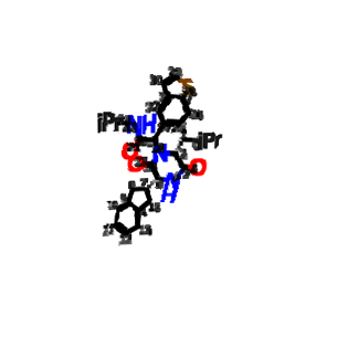 CC(C)C[C@@H]1C(=O)N[C@H](C2Cc3ccccc3C2)C(=O)N1[C@@H](C(=O)NC(C)C)c1ccc2sccc2c1